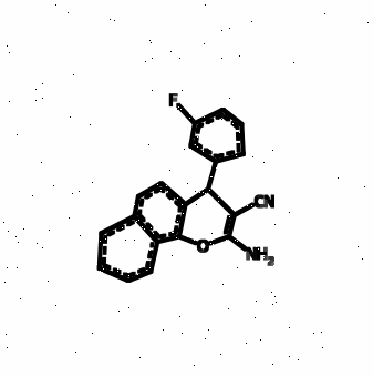 N#CC1=C(N)Oc2c(ccc3ccccc23)C1c1cccc(F)c1